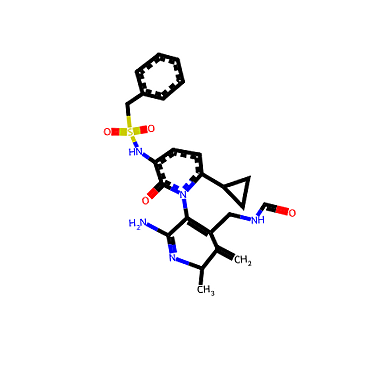 C=C1C(CNC=O)=C(n2c(C3CC3)ccc(NS(=O)(=O)Cc3ccccc3)c2=O)C(N)=NC1C